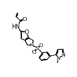 C=CC(=O)Nc1cc2c(o1)CN(S(=O)(=O)c1cccc(-c3ccnn3C)c1)C2